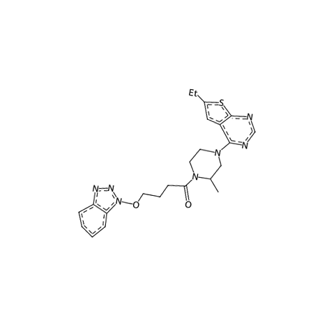 CCc1cc2c(N3CCN(C(=O)CCCOn4nnc5ccccc54)C(C)C3)ncnc2s1